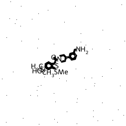 CSc1sc(C(=O)N2CCC(c3cccc(CN)c3)CC2)c2ccc([Si](C)(C)O)cc12